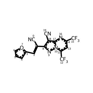 N#C/C(=C\c1ccco1)c1nn2c(C(F)(F)F)cc(C(F)(F)F)nc2c1C#N